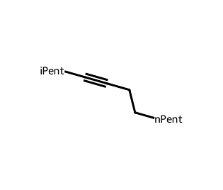 [CH2]CCCCCCC#CC(C)CC[CH2]